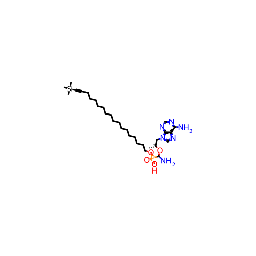 C[C@H](Cn1cnc2c(N)ncnc21)OC(N)P(=O)(O)OCCCCCCCCCCCCCCCCC#C[Si](C)(C)C